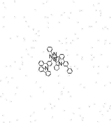 C1=Cc2c(n(-c3cc(-c4ccccc4)ccc3-c3cccc(-c4nc(-c5ccccc5)nc(-c5ccc(-n6c7ccccc7c7ccccc76)c(-c6ccccc6)c5)n4)c3)c3ccccc23)CC1